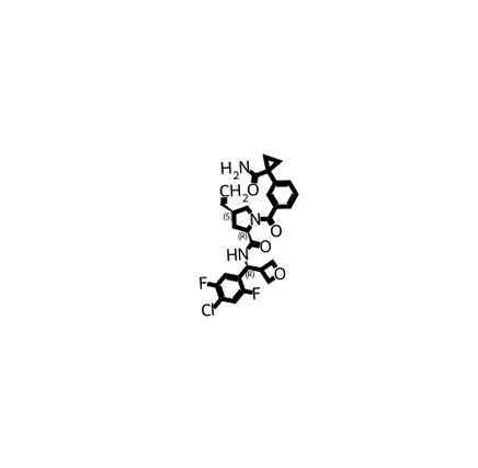 C=C[C@@H]1C[C@H](C(=O)N[C@@H](c2cc(F)c(Cl)cc2F)C2COC2)N(C(=O)c2cccc(C3(C(N)=O)CC3)c2)C1